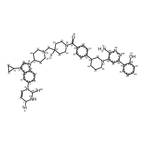 [2H]C1C=CN(c2ccc3c(c2)c(C2CC2)cn3C2CCN(CC3(F)CCN(C(=O)c4ccc(C5CCCN(c6cc(-c7ccccc7O)nnc6N)C5)cc4)CC3)CC2)C([2H])N1